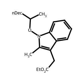 CCCCCCCCCCC(C)On1c(C)c(CC(=O)OCC)c2ccccc21